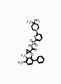 Cc1ccc(-c2ccccc2)c(OC2(C(=O)NS(=O)(=O)c3cccc(N4CCC(N)(C(F)(F)F)CC4)n3)CC2)c1C(F)(F)F